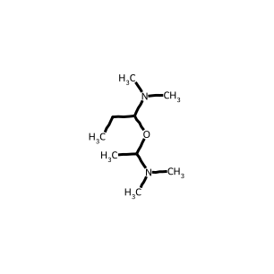 CCC(OC(C)N(C)C)N(C)C